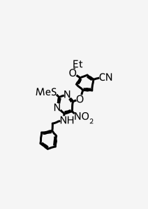 CCOc1cc(C#N)cc(Oc2nc(SC)nc(NCc3ccccc3)c2[N+](=O)[O-])c1